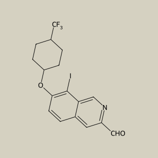 O=Cc1cc2ccc(OC3CCC(C(F)(F)F)CC3)c(I)c2cn1